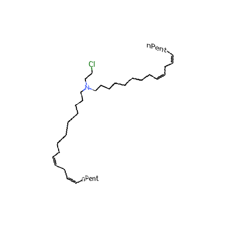 CCCCC/C=C\C/C=C\CCCCCCCCN(CCCl)CCCCCCCC/C=C\C/C=C\CCCCC